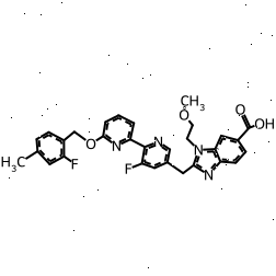 COCCn1c(Cc2cnc(-c3cccc(OCc4ccc(C)cc4F)n3)c(F)c2)nc2ccc(C(=O)O)cc21